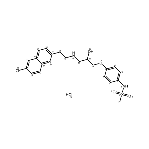 CS(=O)(=O)Nc1ccc(OCC(O)CNCCc2ccc3cc(Cl)ccc3n2)cc1.Cl